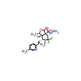 Cc1ccc(/C=C/[C@@H]2[C@@H]3[C@@H](C)OC(=O)[C@]3(C(=O)NN)CC(F)(F)[C@H]2C)nc1